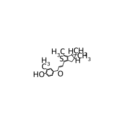 Cc1cc(C(=O)C=Cc2sc(C)c3c2C[C@@H]2[C@H]3C2(C)C)ccc1O